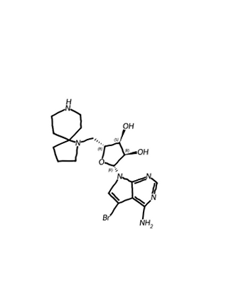 Nc1ncnc2c1c(Br)cn2[C@@H]1O[C@H](CN2CCCC23CCNCC3)[C@@H](O)[C@H]1O